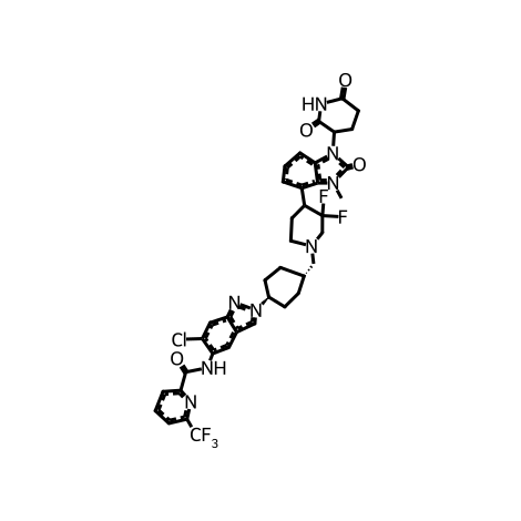 Cn1c(=O)n(C2CCC(=O)NC2=O)c2cccc(C3CCN(C[C@H]4CC[C@H](n5cc6cc(NC(=O)c7cccc(C(F)(F)F)n7)c(Cl)cc6n5)CC4)CC3(F)F)c21